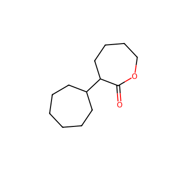 O=C1OCCCCC1C1CCCCCC1